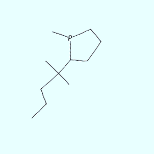 CCCC(C)(C)C1CCCP1C